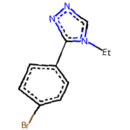 CCn1cnnc1-c1ccc(Br)cc1